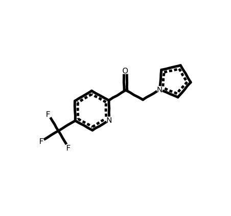 O=C(Cn1cccc1)c1ccc(C(F)(F)F)cn1